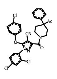 CC(=O)C1(c2ccccc2)CCN(C(=O)c2nn(-c3ccc(Cl)cc3Cl)c(Oc3ccc(Cl)cc3)c2C#N)CC1